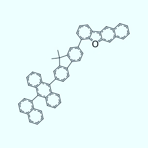 CC1(C)c2cc(-c3c4ccccc4c(-c4cccc5ccccc45)c4ccccc34)ccc2-c2ccc(-c3cccc4c3oc3cc5ccccc5cc34)cc21